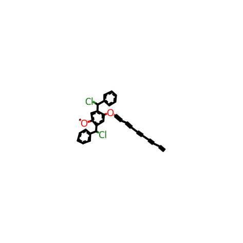 C#CC#CC#CC#CC#COc1cc(C(Cl)c2ccccc2)c(OC)cc1C(Cl)c1ccccc1